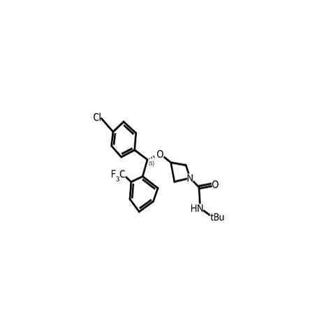 CC(C)(C)NC(=O)N1CC(O[C@@H](c2ccc(Cl)cc2)c2ccccc2C(F)(F)F)C1